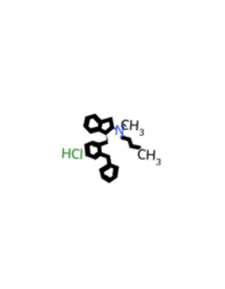 CCCCCN(C)[C@@H]1Cc2ccccc2[C@H]1Cc1ccccc1Cc1ccccc1.Cl